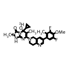 [2H]OC1(C2CC2)C(C)=C(N2CCc3ncc(-c4cc(F)c(OC)c(F)c4C)cc3C2)N=C2NN(C)C(=O)N21